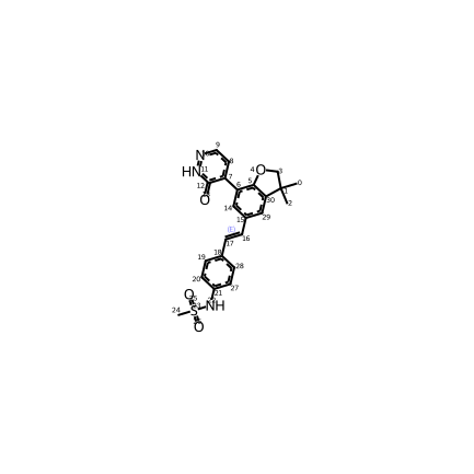 CC1(C)COc2c(-c3ccn[nH]c3=O)cc(/C=C/c3ccc(NS(C)(=O)=O)cc3)cc21